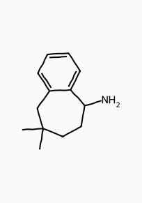 CC1(C)CCC(N)c2ccccc2C1